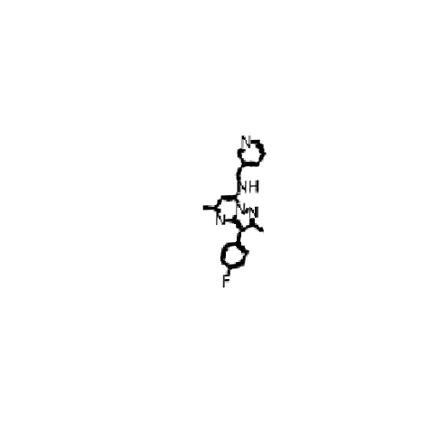 Cc1cc(NCc2cccnc2)n2nc(C)c(-c3ccc(F)cc3)c2n1